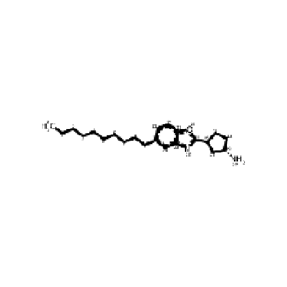 CCCCCCCCCCc1ccc2oc(C3CC[C@H](N)C3)nc2c1